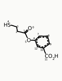 O=C(CCS)Oc1cccc(C(=O)O)c1